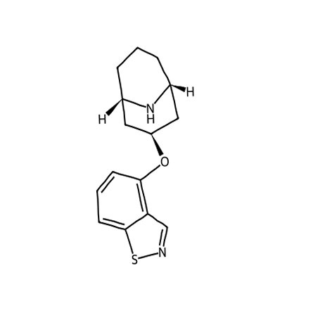 c1cc(O[C@@H]2C[C@H]3CCC[C@@H](C2)N3)c2cnsc2c1